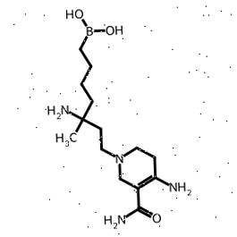 CC(N)(CCCCB(O)O)CCN1CCC(N)=C(C(N)=O)C1